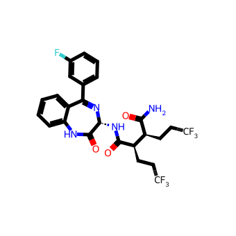 NC(=O)[C@@H](CCC(F)(F)F)[C@@H](CCC(F)(F)F)C(=O)N[C@H]1N=C(c2cccc(F)c2)c2ccccc2NC1=O